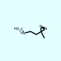 CC1(CCNC(=O)O)N=N1